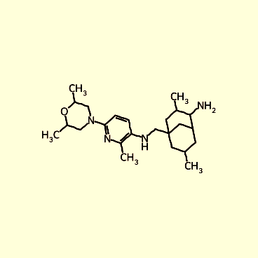 Cc1nc(N2CC(C)OC(C)C2)ccc1NCC12CC(C)CC(C1)C(N)C(C)C2